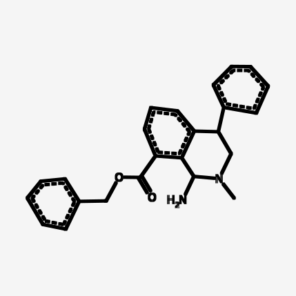 CN1CC(c2ccccc2)c2cccc(C(=O)OCc3ccccc3)c2C1N